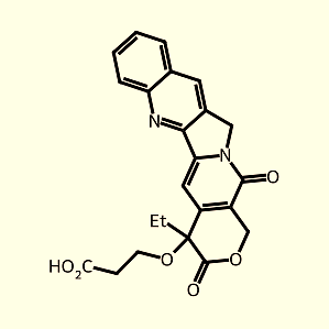 CCC1(OCCC(=O)O)C(=O)OCc2c1cc1n(c2=O)Cc2cc3ccccc3nc2-1